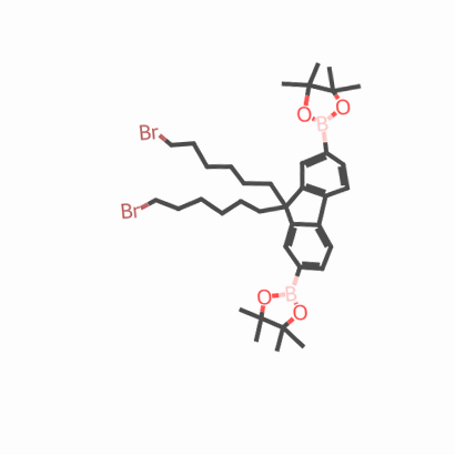 CC1(C)OB(c2ccc3c(c2)C(CCCCCCBr)(CCCCCCBr)c2cc(B4OC(C)(C)C(C)(C)O4)ccc2-3)OC1(C)C